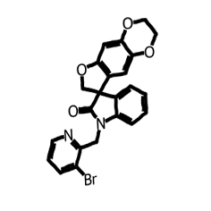 O=C1N(Cc2ncccc2Br)c2ccccc2C12COc1cc3c(cc12)OCCO3